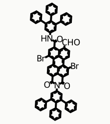 O=Cc1ccc2c3c(Br)cc4c5c(ccc(c6c(Br)cc(C(=O)Nc7cc(-c8ccccc8)c(-c8ccccc8)c(-c8ccccc8)c7)c1c26)c53)C(=O)N(c1cc(-c2ccccc2)c(-c2ccccc2)c(-c2ccccc2)c1)C4=O